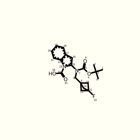 CC(C)(C)OC(=O)N(CC12CC(F)(C1)C2)c1cc2ccccc2n1C(=O)O